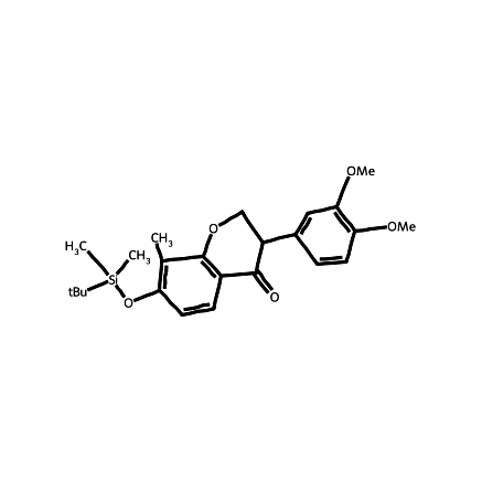 COc1ccc(C2COc3c(ccc(O[Si](C)(C)C(C)(C)C)c3C)C2=O)cc1OC